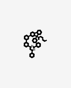 C=C(/C=C\C=C/C)C1(c2ccccc2)c2ccccc2-c2ccc(-c3cccc(-c4cccc(-c5cc(-c6ccccc6)nc(-c6ccccc6)n5)c4)c3)cc21